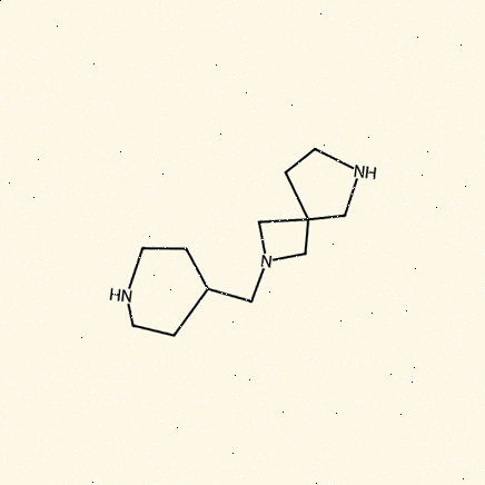 C1CC(CN2CC3(CCNC3)C2)CCN1